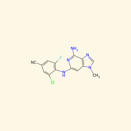 Cn1cnc2c(N)nc(Nc3c(F)cc(C#N)cc3Cl)cc21